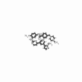 Cc1ccc(NC(=O)c2ccc(CN3CCN(C)CC3)cc2)cc1Nc1nccc(-c2cncc(-c3ccnn3C)c2)n1